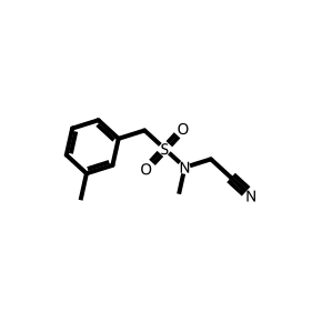 Cc1cccc(CS(=O)(=O)N(C)CC#N)c1